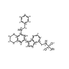 CC(C)S(=O)(=O)NCc1cccc2c1cnn2-c1nc2c(c(NCc3ccccc3)n1)CCCC2